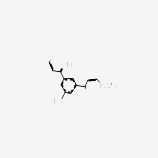 C=C(/C=C\C)c1cc(C(C)/C=C\NC)cc(C(C)(C)C)c1